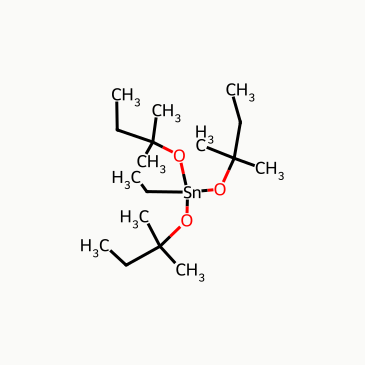 CCC(C)(C)[O][Sn]([CH2]C)([O]C(C)(C)CC)[O]C(C)(C)CC